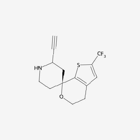 C#CC1C[C@]2(CCN1)OCCc1cc(C(F)(F)F)sc12